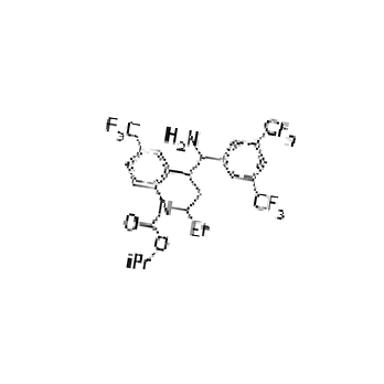 CCC1CC(C(N)c2cc(C(F)(F)F)cc(C(F)(F)F)c2)c2cc(C(F)(F)F)ccc2N1C(=O)OC(C)C